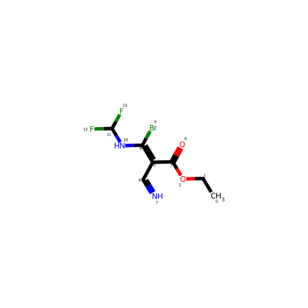 CCOC(=O)/C(C=N)=C(\Br)NC(F)F